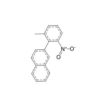 Cc1cccc([N+](=O)[O-])c1-c1ccc2ccccc2c1